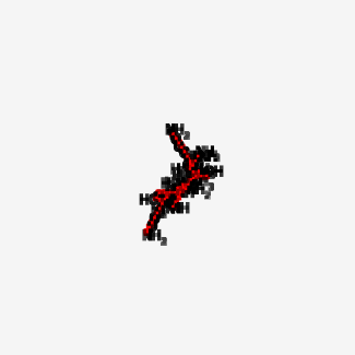 CC(C)(NC(=O)[C@H](Cc1ccc(O)cc1)C(C)(C)NC(=O)c1nc(N)c(C(=O)NC(CCCNC(=N)N)C(=O)CNC(Cc2ccc(O)cc2)C(=O)CNCCCOCCOCCOCCCN)nc1N)C(CCCNC(=N)N)C(=O)NCCCOCCOCCOCCCN